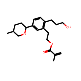 C=C(C)C(=O)OCCc1cc(C2CCC(C)CO2)ccc1CCCO